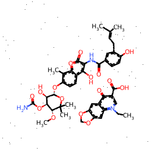 CCn1cc(C(=O)O)c(=O)c2cc3c(cc21)OCO3.CO[C@@H]1[C@@H](OC(N)=O)[C@@H](O)[C@H](Oc2ccc3c(O)c(NC(=O)c4ccc(O)c(CC=C(C)C)c4)c(=O)oc3c2C)OC1(C)C